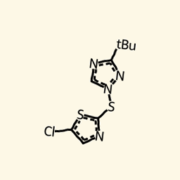 CC(C)(C)c1ncn(Sc2ncc(Cl)s2)n1